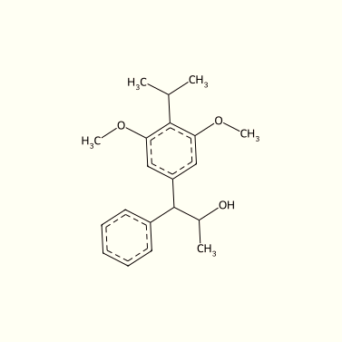 COc1cc(C(c2ccccc2)C(C)O)cc(OC)c1C(C)C